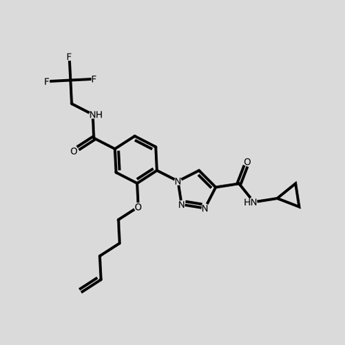 C=CCCCOc1cc(C(=O)NCC(F)(F)F)ccc1-n1cc(C(=O)NC2CC2)nn1